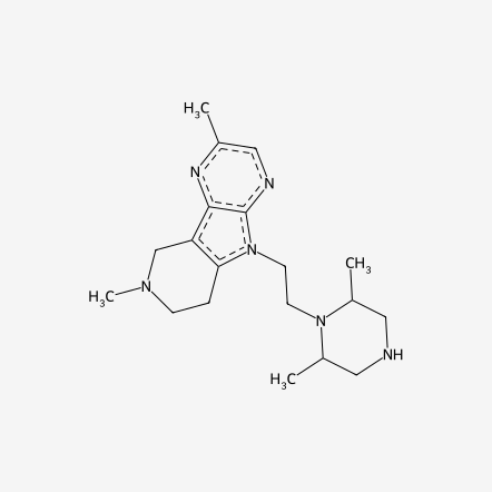 Cc1cnc2c(n1)c1c(n2CCN2C(C)CNCC2C)CCN(C)C1